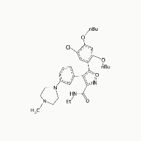 CCCCOc1cc(OCCCC)c(-c2onc(C(=O)NCC)c2-c2cccc(N3CCN(C)CC3)c2)cc1Cl